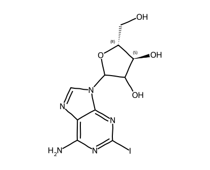 Nc1nc(I)nc2c1ncn2C1O[C@H](CO)[C@@H](O)C1O